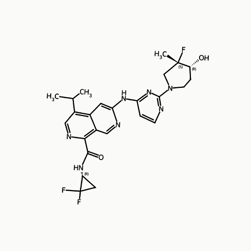 CC(C)c1cnc(C(=O)N[C@@H]2CC2(F)F)c2cnc(Nc3ccnc(N4CC[C@@H](O)[C@@](C)(F)C4)n3)cc12